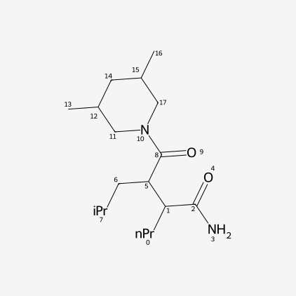 CCCC(C(N)=O)C(CC(C)C)C(=O)N1CC(C)CC(C)C1